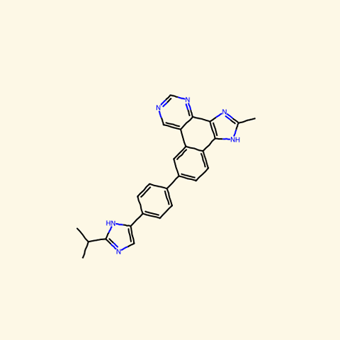 Cc1nc2c3ncncc3c3cc(-c4ccc(-c5cnc(C(C)C)[nH]5)cc4)ccc3c2[nH]1